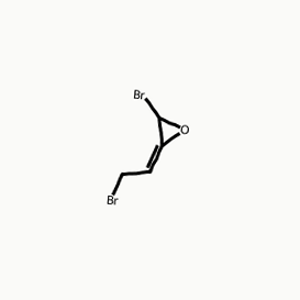 BrCC=C1OC1Br